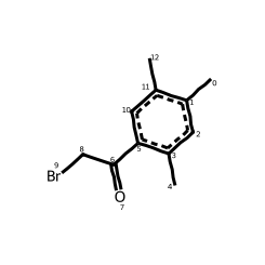 Cc1cc(C)c(C(=O)CBr)cc1C